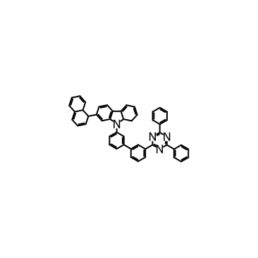 C1=CCC2C(=C1)c1ccc(C3C=CC=C4C=CC=CC43)cc1N2c1cccc(-c2cccc(-c3nc(-c4ccccc4)nc(-c4ccccc4)n3)c2)c1